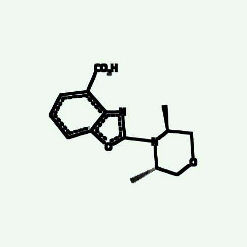 C[C@H]1COC[C@H](C)N1c1nc2c(C(=O)O)cccc2o1